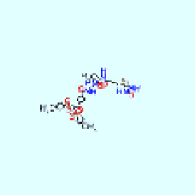 CCC(NC(=O)CCCCC1SCC2NC(=O)NC21)C(=O)NCCNC(=O)c1ccc(C(=O)C(CS(=O)(=O)c2ccc(C)cc2)CS(=O)(=O)c2ccc(C)cc2)cc1